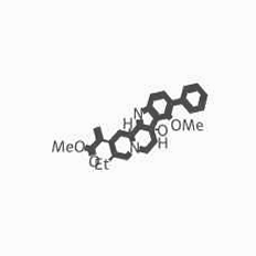 C=C(C(=O)OC)[C@H]1C[C@H]2C3=Nc4ccc(-c5ccccc5)c(OC)c4[C@@]3(O)CCN2C[C@H]1CC